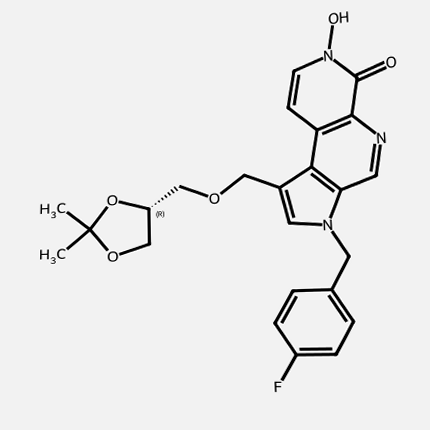 CC1(C)OC[C@@H](COCc2cn(Cc3ccc(F)cc3)c3cnc4c(=O)n(O)ccc4c23)O1